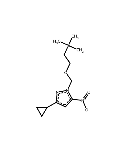 C[Si](C)(C)CCOCn1nc(C2CC2)cc1[N+](=O)[O-]